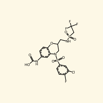 O=C(O)Nc1ccc2c(c1)N(S(=O)(=O)c1ccc(F)c(Cl)c1)CC(CNS(=O)(=O)CC(F)(F)F)O2